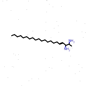 CCCCCCCCCCCCCCCCC=CC(N)C(C)N